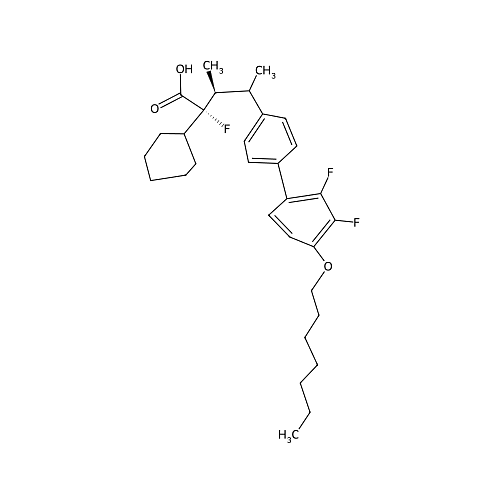 CCCCCCCOc1ccc(-c2ccc(C(C)[C@H](C)[C@](F)(C(=O)O)C3CCCCC3)cc2)c(F)c1F